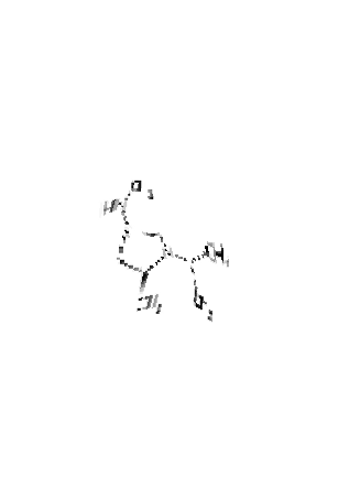 CNC1CC(C)N(C(C)C)C1